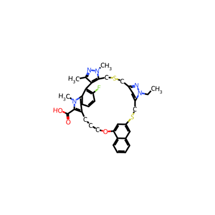 CCn1nc2cc1CSc1cc(c3ccccc3c1)OCCCc1c(C(=O)O)n(C)c3c(c(F)ccc13)-c1c(C)nn(C)c1CSC2